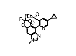 CCS(=O)(=O)c1cc(C2CC2)cnc1-c1c2c(cc3c1ncn3C)OC(F)(F)O2